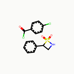 O=C(Cl)c1ccc(Cl)cc1.O=S1(=O)NCC1c1ccccc1